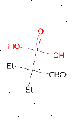 CCC([C]=O)(CC)P(=O)(O)O